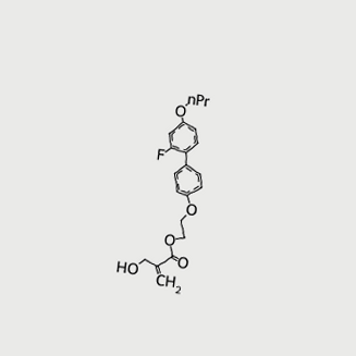 C=C(CO)C(=O)OCCOc1ccc(-c2ccc(OCCC)cc2F)cc1